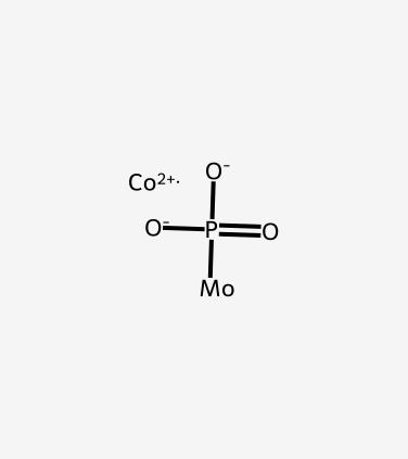 O=[P]([O-])([O-])[Mo].[Co+2]